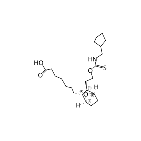 O=C(O)CCCCCC[C@@H]1[C@@H](CCOC(=S)NCC2CCCC2)[C@H]2CC[C@@H]1O2